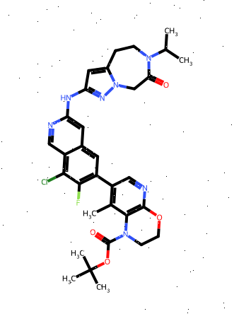 Cc1c(-c2cc3cc(Nc4cc5n(n4)CC(=O)N(C(C)C)CC5)ncc3c(Cl)c2F)cnc2c1N(C(=O)OC(C)(C)C)CCO2